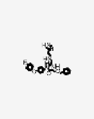 O=C(CNCCc1c[nH]cn1)NC(COCc1ccccc1)C(=O)Nc1ccc(Oc2ccc(F)cc2)cc1